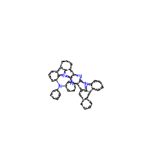 c1ccc(N(c2ccccc2)c2cccc3c4cccc5c6nc7c(nc6n(c23)c45)c2cc3ccccc3c3c4ccccc4n7c23)cc1